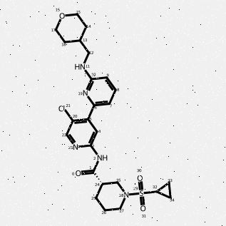 O=C(Nc1cc(-c2cccc(NCC3CCOCC3)n2)c(Cl)cn1)[C@H]1CCCN(S(=O)(=O)C2CC2)C1